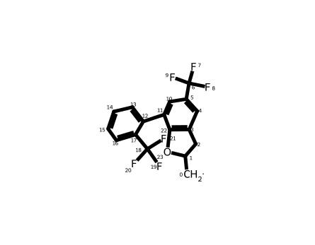 [CH2]C1Cc2cc(C(F)(F)F)cc(-c3ccccc3C(F)(F)F)c2O1